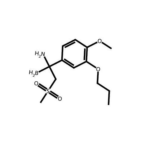 BC(N)(CS(C)(=O)=O)c1ccc(OC)c(OCCC)c1